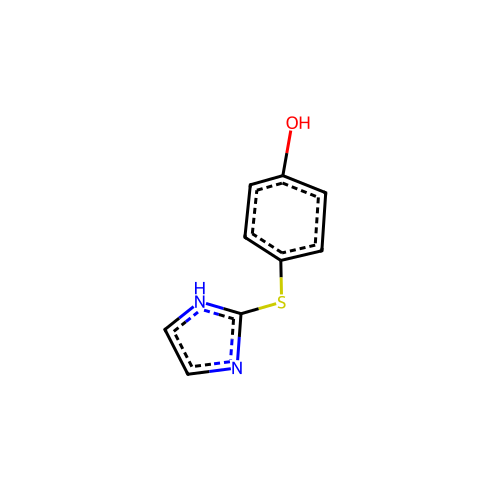 Oc1ccc(Sc2ncc[nH]2)cc1